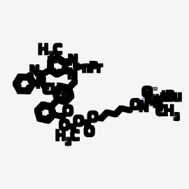 CCCc1nc2c(C)cc(-c3nc4ccccc4n3C)cc2n1Cc1ccc(-c2ccccc2C(=O)OC(C)OC(=O)OCCCCCO/N=[N+](\[O-])N(C)C(C)(C)C)cc1